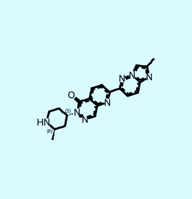 Cc1cn2nc(-c3ccc4c(=O)n([C@H]5CCN[C@H](C)C5)ncc4n3)ccc2n1